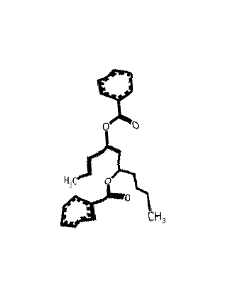 CCCCC(CC(CCC)OC(=O)c1ccccc1)OC(=O)c1ccccc1